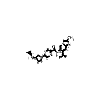 Cc1cn2cc(NC(=O)c3cnc(N4CCC(NC5CC5)C4)cn3)c(C(F)F)cc2n1